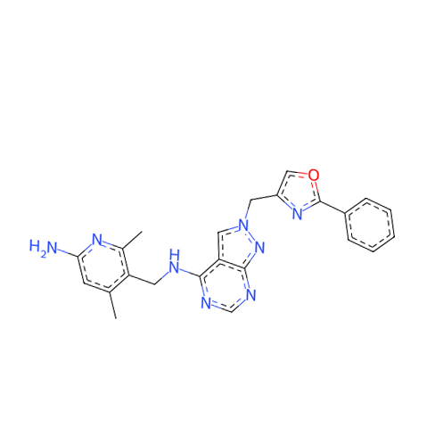 Cc1cc(N)nc(C)c1CNc1ncnc2nn(Cc3coc(-c4ccccc4)n3)cc12